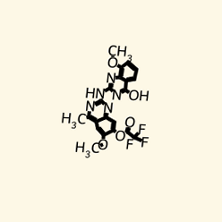 COc1cc2c(C)nc(Nc3nc(O)c4cccc(OC)c4n3)nc2cc1OC(=O)C(F)(F)F